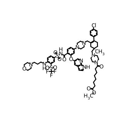 COC(=O)CCCCCCC(=O)N1CCN(C[C@]2(C)CCC(c3ccc(Cl)cc3)=C(CN3CCN(c4ccc(C(=O)NS(=O)(=O)c5ccc(NCCCN6CCOCC6)c(S(=O)(=O)C(F)(F)F)c5)c(Oc5cnc6[nH]ccc6c5)c4)CC3)C2)CC1